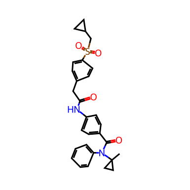 CC1(N(C(=O)c2ccc(NC(=O)Cc3ccc(S(=O)(=O)CC4CC4)cc3)cc2)c2ccccc2)CC1